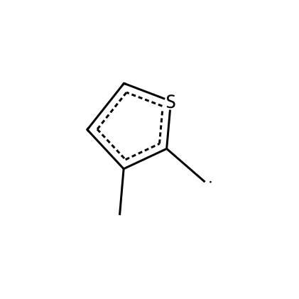 [CH2]c1sccc1C